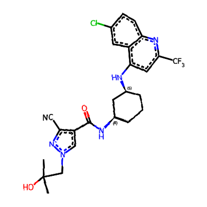 CC(C)(O)Cn1cc(C(=O)N[C@@H]2CCC[C@H](Nc3cc(C(F)(F)F)nc4ccc(Cl)cc34)C2)c(C#N)n1